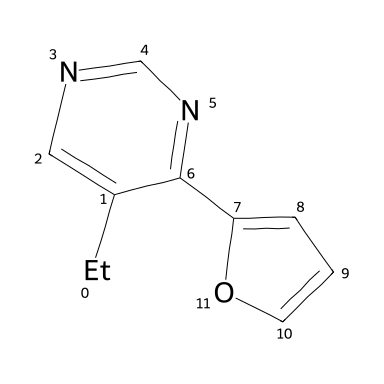 CCc1cncnc1-c1ccco1